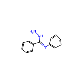 NNC(=Nc1ccccc1)c1ccccc1